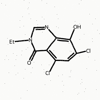 CCn1cnc2c(O)c(Cl)cc(Cl)c2c1=O